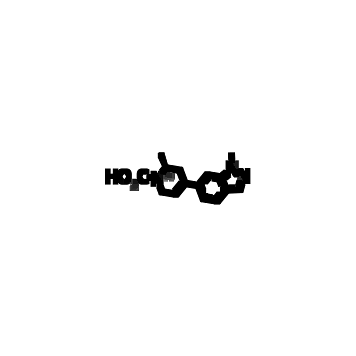 C[C@H]1CC(c2ccc3cnn(C)c3c2)=CCN1C(=O)O